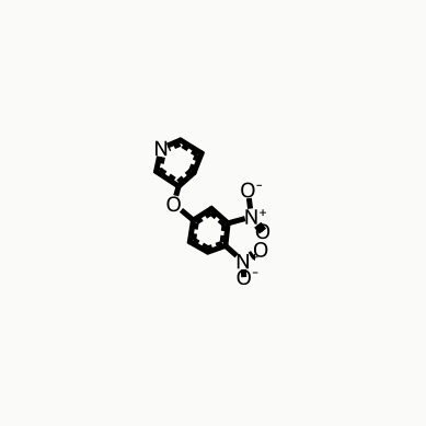 O=[N+]([O-])c1ccc(Oc2cccnc2)cc1[N+](=O)[O-]